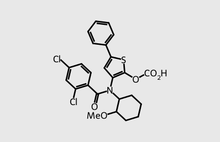 COC1CCCCC1N(C(=O)c1ccc(Cl)cc1Cl)c1cc(-c2ccccc2)sc1OC(=O)O